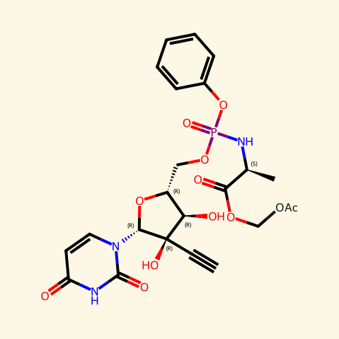 C#C[C@@]1(O)[C@H](O)[C@@H](COP(=O)(N[C@@H](C)C(=O)OCOC(C)=O)Oc2ccccc2)O[C@H]1n1ccc(=O)[nH]c1=O